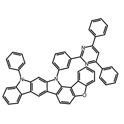 c1ccc(-c2cc(-c3ccccc3)nc(-c3cccc(-n4c5cc6c(cc5c5ccc7oc8ccccc8c7c54)c4ccccc4n6-c4ccccc4)c3)n2)cc1